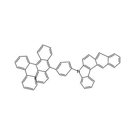 c1ccc(-c2ccccc2-c2c3ccccc3c(-c3ccc(-n4c5ccccc5c5c6cc7ccccc7cc6ccc54)cc3)c3ccccc23)cc1